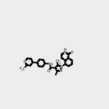 Cc1nn(-c2cccc3c(=O)[nH]ccc23)c(C(F)(F)F)c1C(=O)Nc1ccc(-c2ccnc(C(F)(F)F)c2)cc1